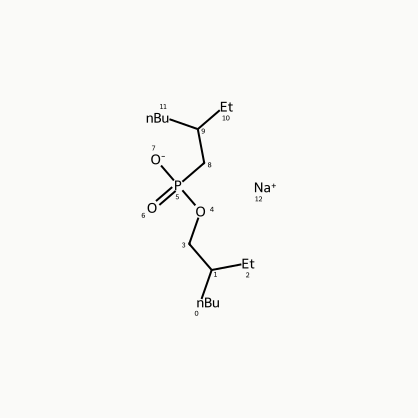 CCCCC(CC)COP(=O)([O-])CC(CC)CCCC.[Na+]